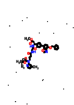 COC(=O)C[C@H](NC(=O)CNC(=O)CCCN(C(=O)OC(C)(C)C)c1cc(C)ccn1)c1ccc(-c2ccc(OCc3ccccc3)c3ncoc23)cc1